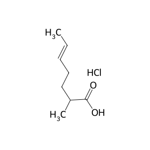 CC=CCCC(C)C(=O)O.Cl